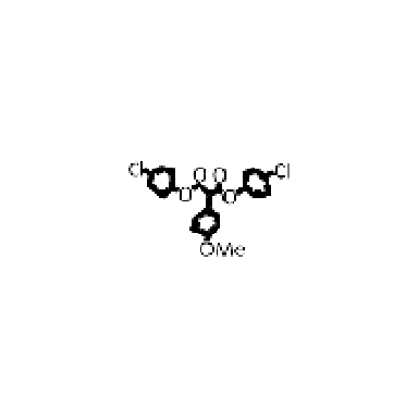 COc1ccc(C(C(=O)Oc2ccc(Cl)cc2)C(=O)Oc2ccc(Cl)cc2)cc1